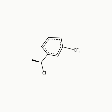 C[C@H](Cl)c1cccc(C(F)(F)F)c1